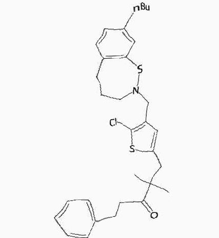 CCCCc1ccc2c(c1)SN(Cc1cc(CC(C)(C)C(=O)CCc3ccccc3)sc1Cl)CCC2